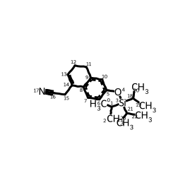 CC(C)[Si](Oc1ccc2c(c1)CCC=C2CC#N)(C(C)C)C(C)C